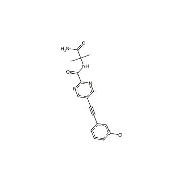 CC(C)(NC(=O)c1ncc(C#Cc2cccc(Cl)c2)cn1)C(N)=O